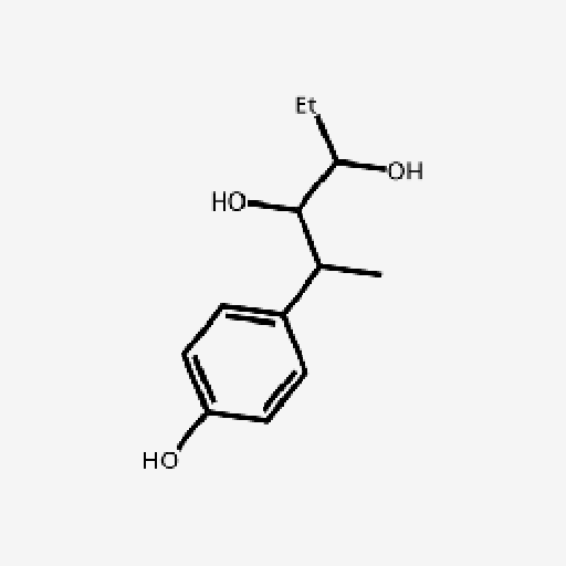 CCC(O)C(O)C(C)c1ccc(O)cc1